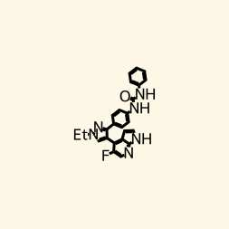 CCn1cc(-c2c(F)cnc3[nH]ccc23)c(-c2ccc(NC(=O)Nc3ccccc3)cc2)n1